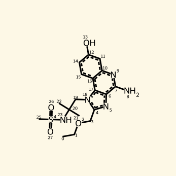 CCOCc1nc2c(N)nc3cc(O)ccc3c2n1CC(C)(C)NS(C)(=O)=O